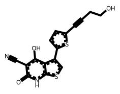 N#Cc1c(O)c2c(-c3ccc(C#CCCO)s3)csc2[nH]c1=O